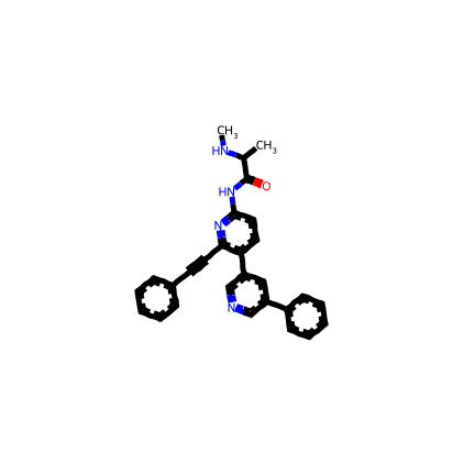 CNC(C)C(=O)Nc1ccc(-c2cncc(-c3ccccc3)c2)c(C#Cc2ccccc2)n1